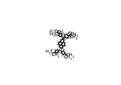 C=C(C)c1ccc(N(c2ccc(C(=C)C)cc2)c2cc3ccc4cc(N(c5ccc(C(C)(C)C)cc5)c5ccc(C(C)(C)C)cc5)cc5ccc(c2)c3c45)cc1